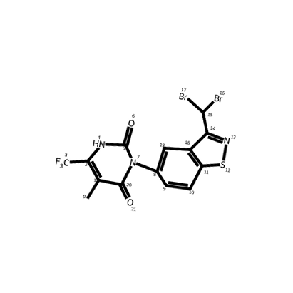 Cc1c(C(F)(F)F)[nH]c(=O)n(-c2ccc3snc(C(Br)Br)c3c2)c1=O